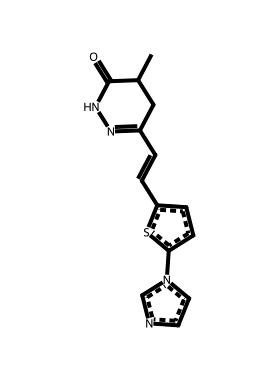 CC1CC(/C=C/c2ccc(-n3ccnc3)s2)=NNC1=O